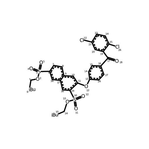 CCC(C)COS(=O)(=O)c1ccc2cc(Oc3ccc(C(=O)c4cc(Cl)ccc4Cl)cc3)c(S(=O)(=O)OCC(C)CC)cc2c1